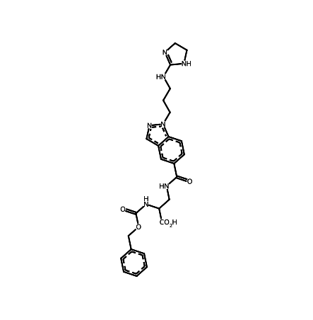 O=C(NC(CNC(=O)c1ccc2c(cnn2CCCNC2=NCCN2)c1)C(=O)O)OCc1ccccc1